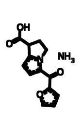 N.O=C(c1ccco1)c1ccc2n1CCC2C(=O)O